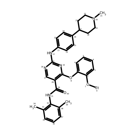 CCOc1ccccc1Oc1nc(Nc2ccc(C3CCN(C)CC3)cc2)ncc1C(=O)Nc1c(C)cccc1C